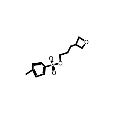 Cc1ccc(S(=O)(=O)OCCCC2COC2)cc1